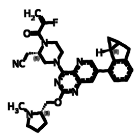 C=C(F)C(=O)N1CCN(c2nc(OC[C@@H]3CCCN3C)nc3cc(-c4cccc5c4[C@@H]4CC4C5)cnc23)C[C@@H]1CC#N